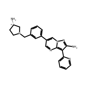 Nc1nn2cc(-c3cccc(CN4CC[C@H](N)C4)c3)cnc2c1-c1ccccn1